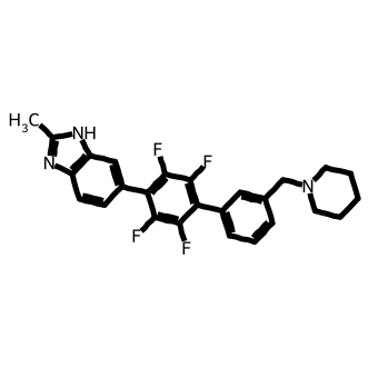 Cc1nc2ccc(-c3c(F)c(F)c(-c4cccc(CN5CCCCC5)c4)c(F)c3F)cc2[nH]1